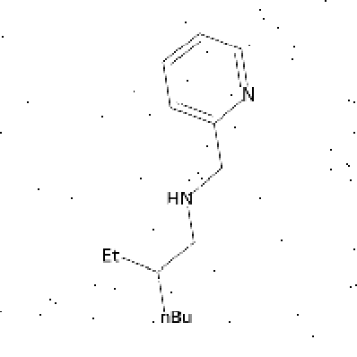 CCCCC(CC)CNCc1ccccn1